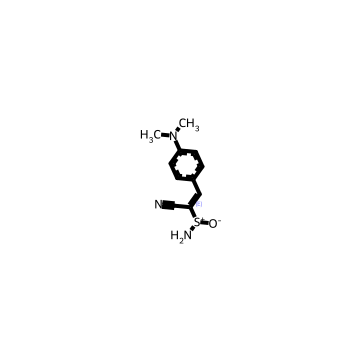 CN(C)c1ccc(/C=C(\C#N)[S+](N)[O-])cc1